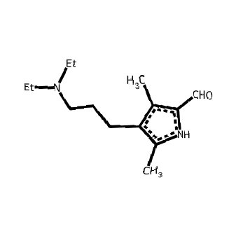 CCN(CC)CCCc1c(C)[nH]c(C=O)c1C